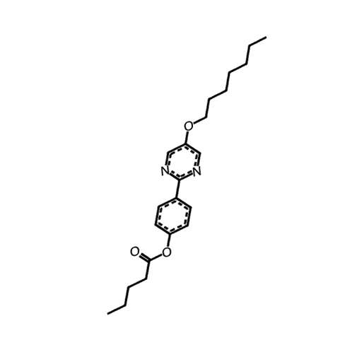 CCCCCCCOc1cnc(-c2ccc(OC(=O)CCCC)cc2)nc1